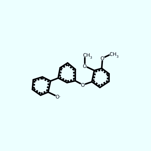 COc1cccc(Oc2cccc(-c3ccccc3[O])c2)c1OC